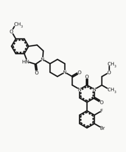 COCC(C)n1c(=O)c(-c2cccc(Br)c2F)cn(CC(=O)N2CCC(N3CCc4cc(OC)ccc4NC3=O)CC2)c1=O